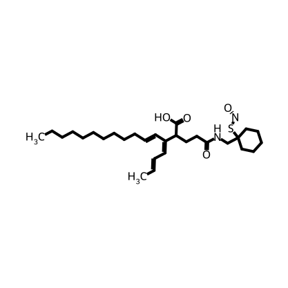 CC=CC=C(C=CCCCCCCCCCC)C(CCC(=O)NCC1(SN=O)CCCCC1)C(=O)O